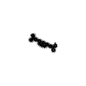 Cc1cccc(N(c2ccccc2)c2ccc(-c3ccc4c(c3)C(C)(C)c3ccc5c6c(ccc-4c36)-c3ccc(C4=CC=C(N(c6ccccc6)c6ccccc6)CC4)cc3C5(C)C)cc2)c1